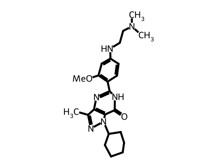 COc1cc(NCCN(C)C)ccc1-c1nc2c(C)nn(C3CCCCC3)c2c(=O)[nH]1